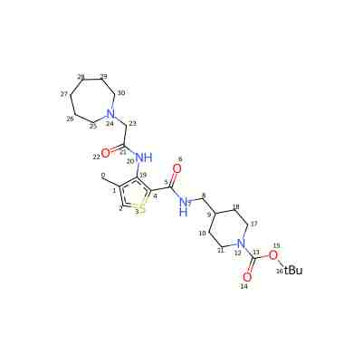 Cc1csc(C(=O)NCC2CCN(C(=O)OC(C)(C)C)CC2)c1NC(=O)CN1CCCCCC1